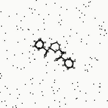 O=C(N[C@@H]1CCCN(C(=O)c2ccccc2)C1)c1ccccc1